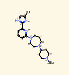 CCc1c[nH]c(-c2cccc(N3CCCN(C4CCN(C(C)CC)CC4)CC3)n2)n1